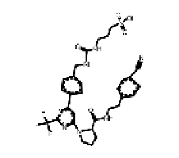 N#Cc1ccc(CCNC(=O)C2CCCN2c2cc(-c3ccc(CNC(=O)NCCCS(=O)(=O)O)cc3)nc(C(F)(F)F)n2)cc1